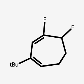 CC(C)(C)C1=CCCC(F)C(F)=C1